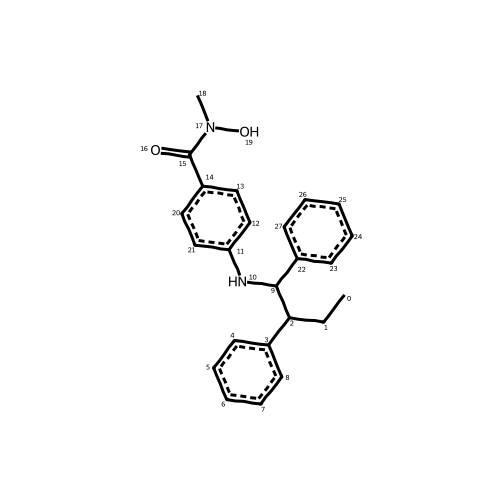 CCC(c1ccccc1)C(Nc1ccc(C(=O)N(C)O)cc1)c1ccccc1